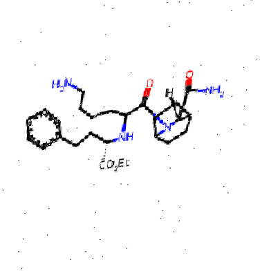 CCOC(=O)[C@H](CCc1ccccc1)NC(CCCCN)C(=O)N1C2CCC(CC2)[C@H]1C(N)=O